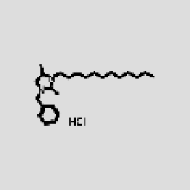 CCCCCCCCCCCCN1C(C)CN(Cc2ccccc2)C1C.Cl